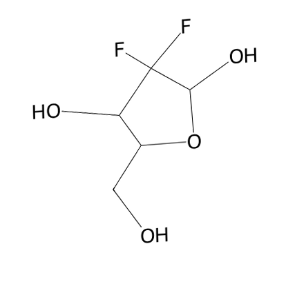 OCC1OC(O)C(F)(F)C1O